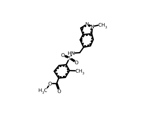 COC(=O)c1ccc(S(=O)(=O)NCc2ccc3c(cnn3C)c2)c(C)c1